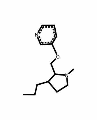 CCCC1CCN(C)C1COc1cccnc1